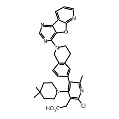 Cc1nc(Cl)c(CC(=O)O)c(N2CCC(C)(C)CC2)c1-c1ccc2c(c1)CCN(c1ncnc3c1oc1ncccc13)C2